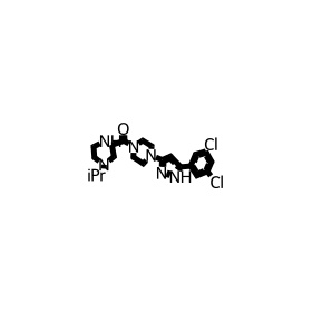 CC(C)N1CCNC(C(=O)N2CCN(c3cc(-c4cc(Cl)cc(Cl)c4)[nH]n3)CC2)C1